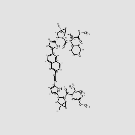 COC(=O)N[C@H](C(=O)N1C2C[C@@H]2C[C@H]1c1ncc(C#Cc2ccc3cc(-c4cnc([C@@H]5C[C@H]6C[C@H]6N5C(=O)[C@@H](NC(=O)OC)C5CCOCC5)[nH]4)ccc3c2)[nH]1)C(C)C